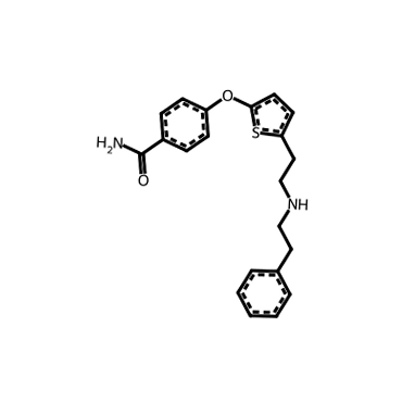 NC(=O)c1ccc(Oc2ccc(CCNCCc3ccccc3)s2)cc1